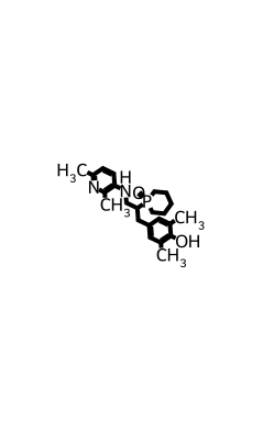 Cc1ccc(NCC(Cc2cc(C)c(O)c(C)c2)P2(=O)CCCCC2)c(C)n1